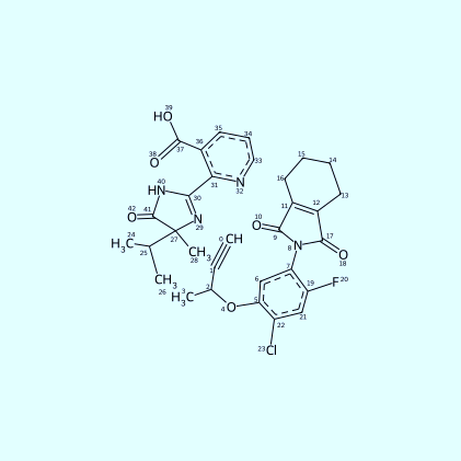 C#CC(C)Oc1cc(N2C(=O)C3=C(CCCC3)C2=O)c(F)cc1Cl.CC(C)C1(C)N=C(c2ncccc2C(=O)O)NC1=O